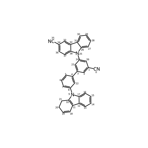 N#Cc1cc(-c2cccc(-n3c4c(c5ccccc53)C=CCC4)c2)cc(-n2c3ccccc3c3cc(C#N)ccc32)c1